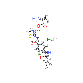 CC(C)[C@H](N)C(=O)OCn1ccs/c1=N\C(=O)c1cc(F)c(NC(=O)CC(C)(C)C)c(F)c1.Cl